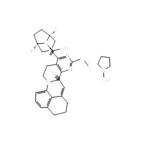 CN1CCC[C@H]1COc1nc2c(c(N3C[C@H]4CC[C@@H](C3)N4C(=O)O)n1)CCN(c1cccc3c1/C(=C\C#N)CCC3)C2